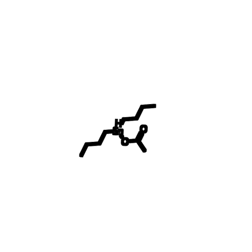 CCC[CH2][SnH]([CH2]CCC)[O]C(C)=O